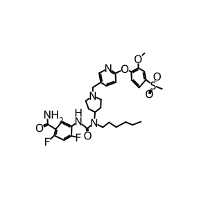 CCCCCCN(C(=O)Nc1cc(C(N)=O)c(F)cc1F)C1CCN(Cc2ccc(Oc3ccc(S(C)(=O)=O)cc3OC)nc2)CC1